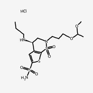 CCCN[C@H]1CN(CCCOC(C)OC)S(=O)(=O)c2sc(S(N)(=O)=O)cc21.Cl